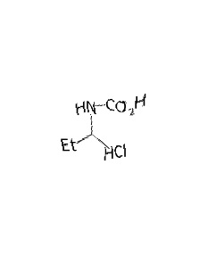 CCC(C)NC(=O)O.Cl